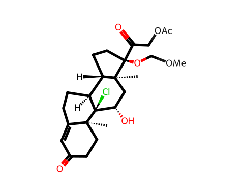 COCO[C@]1(C(=O)COC(C)=O)CC[C@H]2[C@@H]3CCC4=CC(=O)CC[C@]4(C)[C@@]3(Cl)[C@@H](O)C[C@@]21C